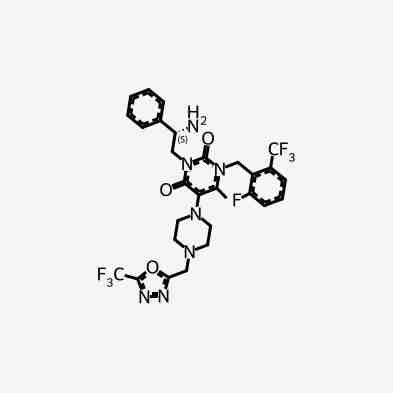 Cc1c(N2CCN(Cc3nnc(C(F)(F)F)o3)CC2)c(=O)n(C[C@@H](N)c2ccccc2)c(=O)n1Cc1c(F)cccc1C(F)(F)F